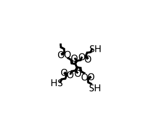 CCCC(=O)OCc1cc(-c2cc(COC(=O)CCS)oc2COC(=O)CCS)c(COC(=O)CCS)o1